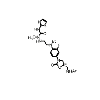 CCN(CCNN(C)C(=O)Nc1nccs1)c1ccc(N2C[C@H](CNC(C)=O)OC2=O)cc1F